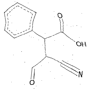 N#CC(C=O)C(C(=O)O)c1ccccc1